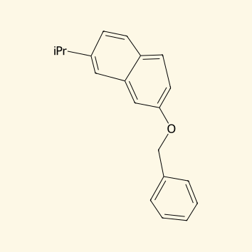 CC(C)c1ccc2ccc(OCc3ccccc3)cc2c1